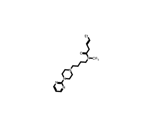 CC/C=C/CC(=O)N(C)CCCCN1CCN(c2ncccn2)CC1